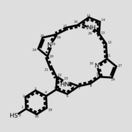 Sc1ccc(-c2cc3cc4nc(cc5ccc(cc6nc(cc2[nH]3)C=C6)[nH]5)C=C4)cc1